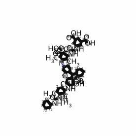 Cc1cc(C)c(Nc2ccc3c(-c4ccccc4S(=O)(=O)O)c4cc/c(=N\c5c(C)c(NC(=O)Nc6cc(C(=O)O)cc(C(=O)O)c6)c(C)c(S(=O)(=O)O)c5C)cc-4oc3c2)c(C)c1NC(=O)Nc1ccccc1